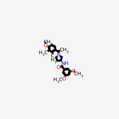 COc1cc(OC)cc(C(=O)N[C@H]2CCN(C(C)c3ccc(OC)c(C)c3C)C2)c1